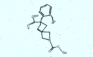 COC(=O)C1(c2ccccc2Br)CC2(CN(C(=O)OC(C)(C)C)C2)C1